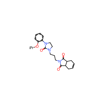 CC(C)Oc1ccccc1N1CCN(CCCN2C(=O)C3CC=CCC3C2=O)C1=O